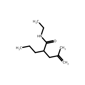 C=C(C)CC(CCC)C(=O)NCC